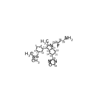 Cc1c(-c2cccc(SN(C)C)c2)c2cc(-c3ncon3)ccc2n1C/C(F)=C/CN